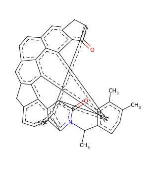 Cc1ccc(C(C)n2c(=O)c3c4c5c6cc7ccc(cc8c(=O)c9c(cc%10ccc%11cc(c5c5c%11c%10c9c35)C6)C8)c2c74)cc1C